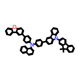 CC1(C)c2ccccc2-c2ccc(-n3c4ccccc4c4cc(-c5ccc(N(c6ccc(-c7ccc8oc9ccccc9c8c7)cc6)c6cccc7ccccc67)cc5)ccc43)cc21